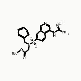 CC(C)(C)OC(=O)CN(Cc1ccccc1)S(=O)(=O)c1ccc2c(NC(N)=NCl)cncc2c1